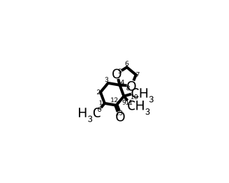 CC1CCC2(OCCO2)C(C)(C)C1=O